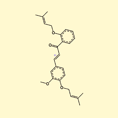 COc1cc(/C=C/C(=O)c2ccccc2OCC=C(C)C)ccc1OCC=C(C)C